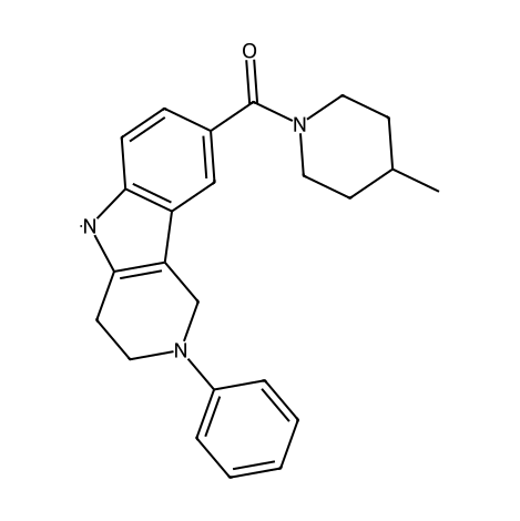 CC1CCN(C(=O)c2ccc3c(c2)C2=C(CCN(c4ccccc4)C2)[N]3)CC1